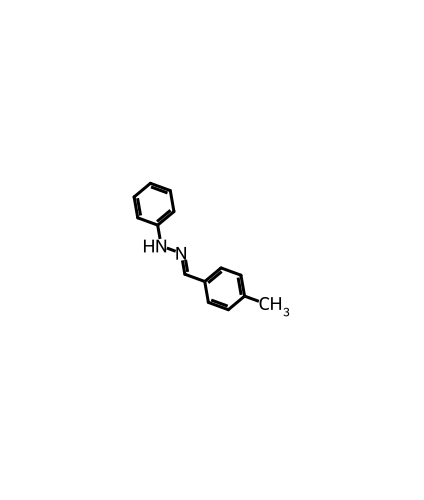 Cc1ccc(/C=N/Nc2ccccc2)cc1